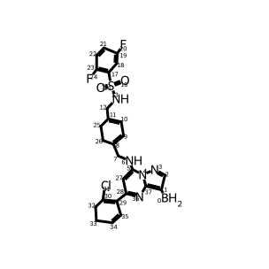 Bc1cnn2c(NCC3=CC=C(CNS(=O)(=O)c4cc(F)ccc4F)CC3)cc(C3=C(Cl)CCC=C3)nc12